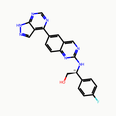 OC[C@@H](Nc1ncc2cc(-c3ncnc4[nH]ncc34)ccc2n1)c1ccc(F)cc1